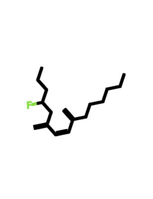 C=C(/C=C\C(=C)CC(F)CCC)CCCCCC